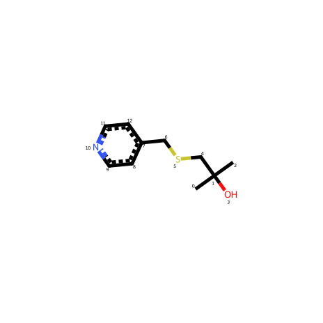 CC(C)(O)CSCc1ccncc1